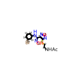 CC(=O)NCCSc1nonc1C(=NO)Nc1cccc(Br)c1